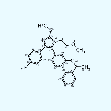 COCCn1c(SC)nc(-c2ccc(F)cc2)c1-c1ccnc(OC(C)c2ccccc2)c1